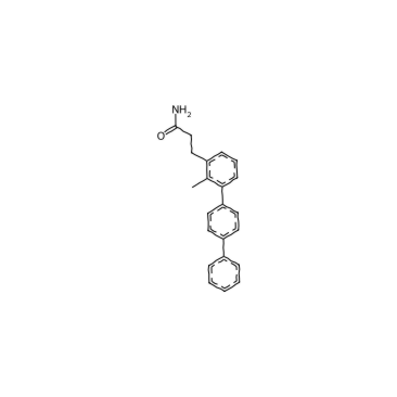 Cc1c(CCC(N)=O)cccc1-c1ccc(-c2ccccc2)cc1